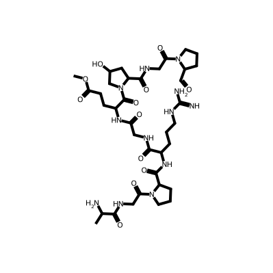 COC(=O)CCC(NC(=O)CNC(=O)C(CCCNC(=N)N)NC(=O)C1CCCN1C(=O)CNC(=O)C(C)N)C(=O)N1CC(O)CC1C(=O)NCC(=O)N1CCCC1C=O